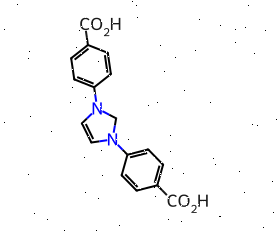 O=C(O)c1ccc(N2C=CN(c3ccc(C(=O)O)cc3)C2)cc1